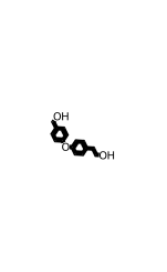 OCCc1ccc(Oc2ccc(CO)cc2)cc1